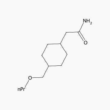 CCCOCC1CCC(CC(N)=O)CC1